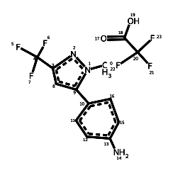 Cn1nc(C(F)(F)F)cc1-c1ccc(N)cc1.O=C(O)C(F)(F)F